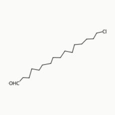 O=[C]CCCCCCCCCCCCCCCCl